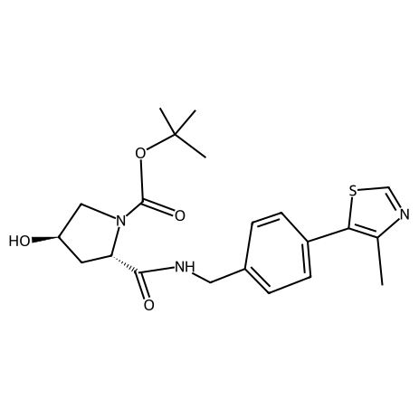 Cc1ncsc1-c1ccc(CNC(=O)[C@@H]2C[C@@H](O)CN2C(=O)OC(C)(C)C)cc1